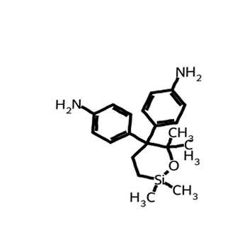 CC1(C)O[Si](C)(C)CCC1(c1ccc(N)cc1)c1ccc(N)cc1